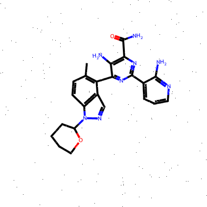 Cc1ccc2c(cnn2C2CCCCO2)c1-c1nc(-c2cccnc2N)nc(C(N)=O)c1N